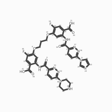 O=C(Nc1cc(OCCCOc2cc(NC(=O)c3ccc(-n4ccnc4)nn3)c(C(=O)O)cc2F)c(F)cc1C(=O)O)c1ccc(N2CCNCC2)nn1